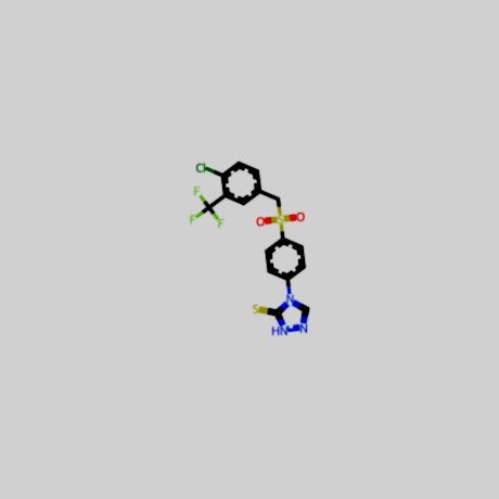 O=S(=O)(Cc1ccc(Cl)c(C(F)(F)F)c1)c1ccc(-n2cn[nH]c2=S)cc1